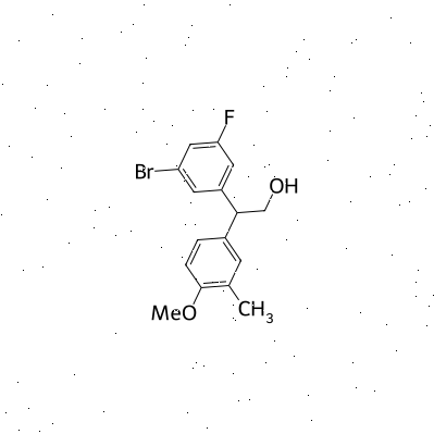 COc1ccc(C(CO)c2cc(F)cc(Br)c2)cc1C